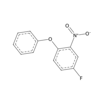 O=[N+]([O-])c1cc(F)ccc1Oc1ccccc1